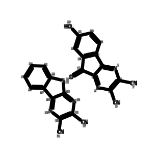 N#Cc1nc2c(nc1C#N)-c1ccc(O)cc1C2=O.N#Cc1nc2sc3ccccc3c2nc1C#N